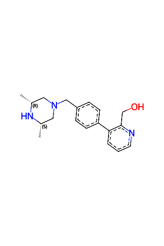 C[C@@H]1CN(Cc2ccc(-c3cccnc3CO)cc2)C[C@H](C)N1